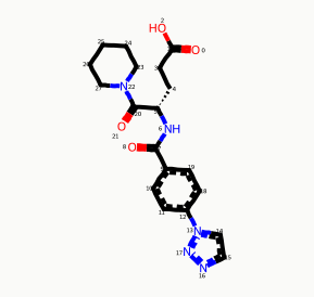 O=C(O)CC[C@H](NC(=O)c1ccc(-n2ccnn2)cc1)C(=O)N1CCCCC1